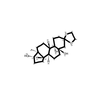 C[C@]12CC[C@H]3[C@@H](CC[C@@]4(O)CC5(CC[C@]34S)OCCO5)[C@@H]1CC[C@@H]2O